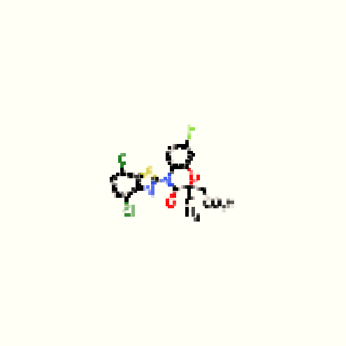 CC1(CC(=O)O)Oc2cc(F)ccc2N(c2nc3c(Cl)ccc(Cl)c3s2)C1=O